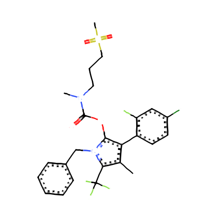 Cc1c(-c2ccc(Cl)cc2F)c(OC(=O)N(C)CCCS(C)(=O)=O)n(Cc2ccccc2)c1C(F)(F)F